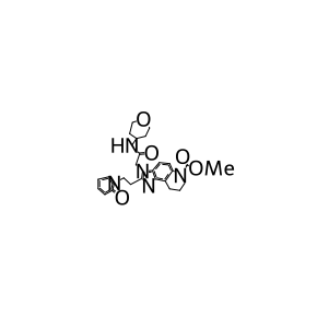 COC(=O)N1CCCc2c1ccc1c2nc(CCn2ccccc2=O)n1CC(=O)NC1CCOCC1